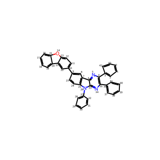 c1ccc(-c2nc3c4cc(-c5ccc6oc7ccccc7c6c5)ccc4n(-c4ccccc4)c3nc2-c2ccccc2)cc1